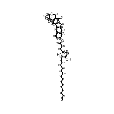 CCCCCCCCCCCCCCCCC(NC(=O)CCC(=O)Oc1ccc2nc3c(cc2c1)Cn1c-3cc2c(c1=O)COC(=O)[C@]2(O)OC)C(=O)O